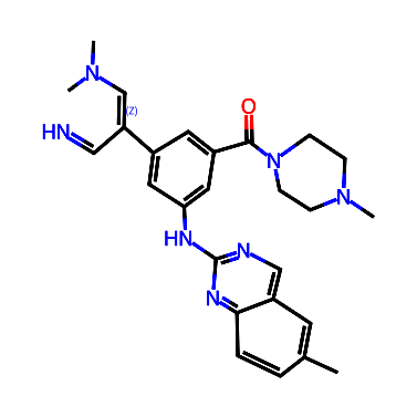 Cc1ccc2nc(Nc3cc(C(=O)N4CCN(C)CC4)cc(/C(C=N)=C/N(C)C)c3)ncc2c1